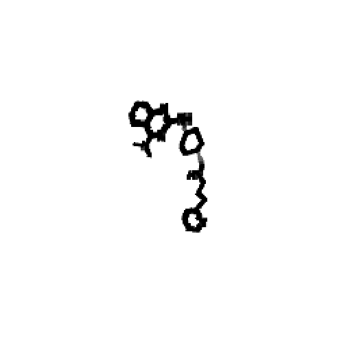 CN(C)c1nc(N[C@H]2CC[C@@H](CNCCCc3ccccn3)CC2)nc2ccccc12